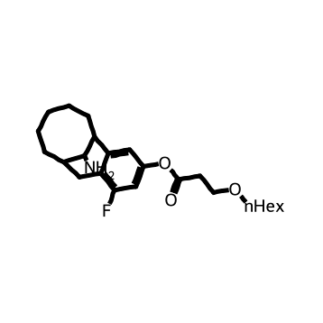 CCCCCCOCCC(=O)Oc1cc(F)c2c(c1)C1CCCCCC(C2)C1N